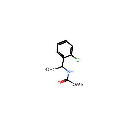 COC(=O)NC([C]=O)c1ccccc1Cl